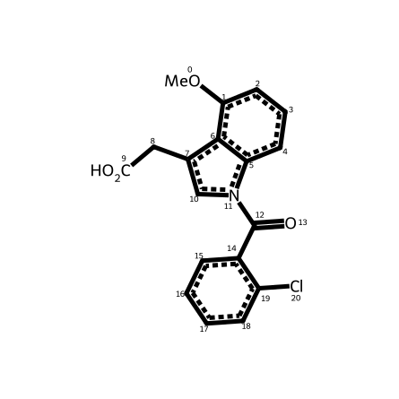 COc1cccc2c1c(CC(=O)O)cn2C(=O)c1ccccc1Cl